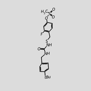 CC(C)(C)c1ccc(CNC(=O)NSCc2ccc(OS(C)(=O)=O)cc2F)cc1